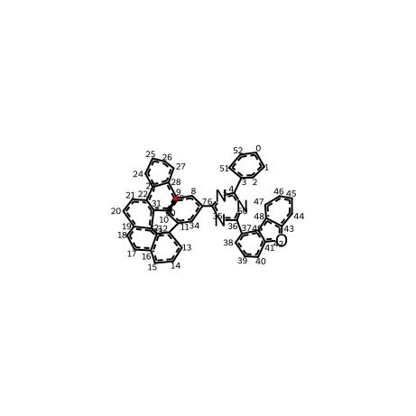 c1ccc(-c2nc(-c3cccc(-c4cccc5ccc6ccc7c8ccccc8ccc7c6c45)c3)nc(-c3cccc4oc5ccccc5c34)n2)cc1